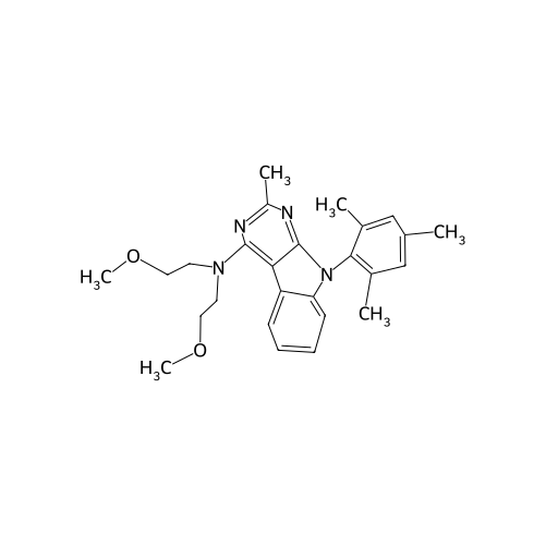 COCCN(CCOC)c1nc(C)nc2c1c1ccccc1n2-c1c(C)cc(C)cc1C